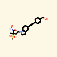 CC(CCn1ccc2cc(C#Cc3ccc(CO)cc3)ccc21)(C(=O)NO)S(C)(=O)=O